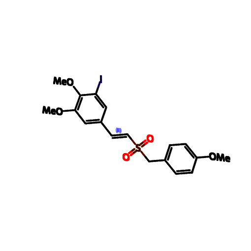 COc1ccc(CS(=O)(=O)/C=C/c2cc(I)c(OC)c(OC)c2)cc1